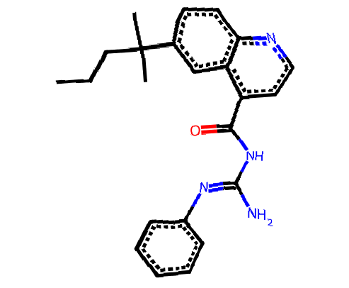 CCCC(C)(C)c1ccc2nccc(C(=O)NC(N)=Nc3ccccc3)c2c1